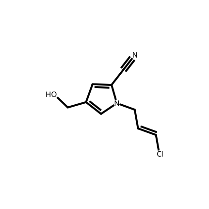 N#Cc1cc(CO)cn1CC=CCl